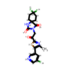 Cc1nc(C(=O)CN2C(=O)NC3(CCC(F)(F)CC3)C2=O)sc1-c1cncc(F)c1